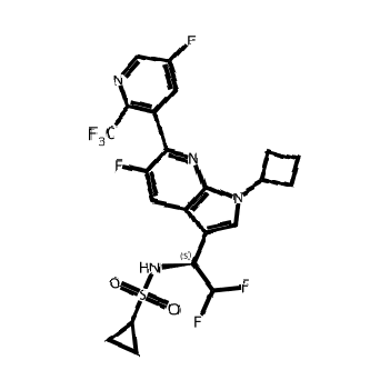 O=S(=O)(N[C@@H](c1cn(C2CCC2)c2nc(-c3cc(F)cnc3C(F)(F)F)c(F)cc12)C(F)F)C1CC1